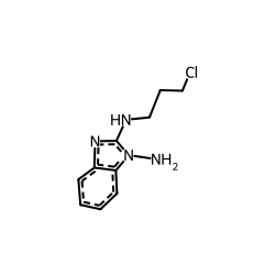 Nn1c(NCCCCl)nc2ccccc21